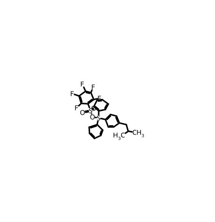 CC(C)Cc1ccc(S(OS(=O)(=O)c2c(F)c(F)c(F)c(F)c2F)(c2ccccc2)c2ccccc2)cc1